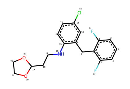 Fc1cccc(F)c1Cc1cc(Cl)ccc1NCCC1OCCO1